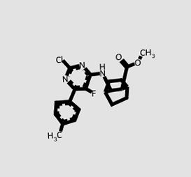 COC(=O)C1C2CCC(CC2)C1Nc1nc(Cl)nc(-c2ccc(C)cc2)c1F